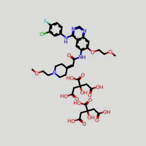 COCCOc1cc2ncnc(Nc3ccc(F)c(Cl)c3)c2cc1NC(=O)C=C1CCN(CCOC)CC1.O=C(O)CC(O)(CC(=O)O)C(=O)O.O=C(O)CC(O)(CC(=O)O)C(=O)O